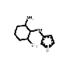 CC1CCCC(N)C1Nc1cc[nH]c1